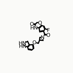 O=C1COc2cc(F)c(C(=O)N3CC(COc4cccc5c4CNN5)C3)cc2N1